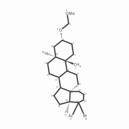 COCO[C@@H]1CC[C@]2(C)C3CC[C@]45CCCC(Br)(C(C)=O)[C@H]4CCC5C3CC[C@H]2C1